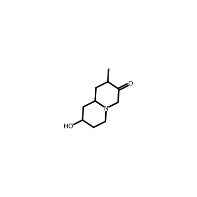 CC1CC2CC(O)CCN2CC1=O